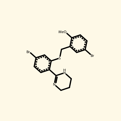 COc1ccc(Br)cc1CSc1cc(Br)ccc1C1=NCCCN1